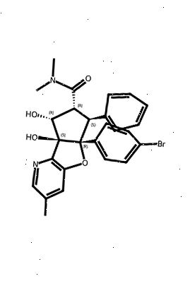 Cc1cnc2c(c1)O[C@@]1(c3ccc(Br)cc3)[C@H](c3ccccc3)[C@@H](C(=O)N(C)C)[C@@H](O)[C@@]21O